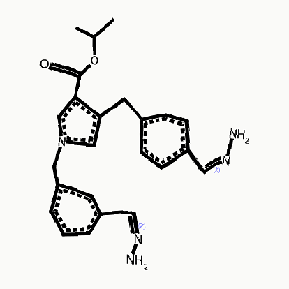 CC(C)OC(=O)c1cn(Cc2cccc(/C=N\N)c2)cc1Cc1ccc(/C=N\N)cc1